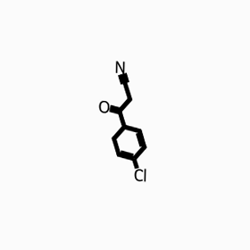 N#CCC(=O)C1C=CC(Cl)=CC1